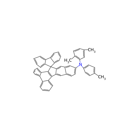 Cc1ccc(N(c2ccc3cc4c(cc3c2)C2(c3ccccc3-c3ccccc32)c2c-4c3ccccc3c3ccccc23)c2cc(C)ccc2C)cc1